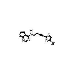 Brc1csc(C#CCCNc2ncnc3sccc23)n1